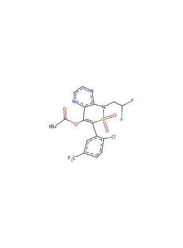 CC(C)(C)C(=O)OC1=C(c2cc(C(F)(F)F)ccc2Cl)S(=O)(=O)N(CC(F)F)c2nccnc21